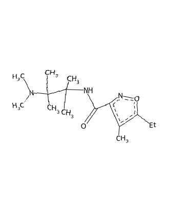 CCc1onc(C(=O)NC(C)(C)C(C)(C)N(C)C)c1C